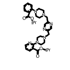 CC(C)OC(=O)c1ccccc1N1CCN(Cc2cnc(CN3CCN(c4ncccc4C(=O)OC(C)C)CC3)cn2)CC1